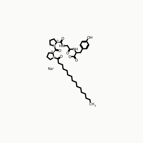 CCCCCCCCCCCCCCCC(=O)N1CCC[C@H]1C(=O)N1CCC[C@H]1C(=O)NCC(=O)NC(Cc1ccc(O)cc1)C(=O)[O-].[Na+]